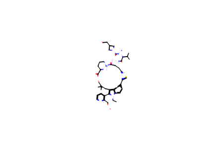 CCn1c(-c2cccnc2[C@H](C)OC)c2c3cc(ccc31)-c1csc(n1)C[C@H](NC(=O)C(C(C)C)N(C)C(=O)N1CC([C@H](C)CO)C1)C(=O)N1CCC[C@H](N1)C(=O)OCC(C)(C)C2